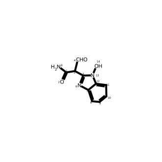 NC(=O)C(C=O)c1nc2ccccc2n1O